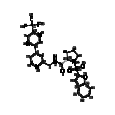 O=C(NCc1cc(-c2cnc(C(F)(F)F)cn2)ccn1)[C@@H]1CCCN1S(=O)(=O)c1cc2ccccc2o1